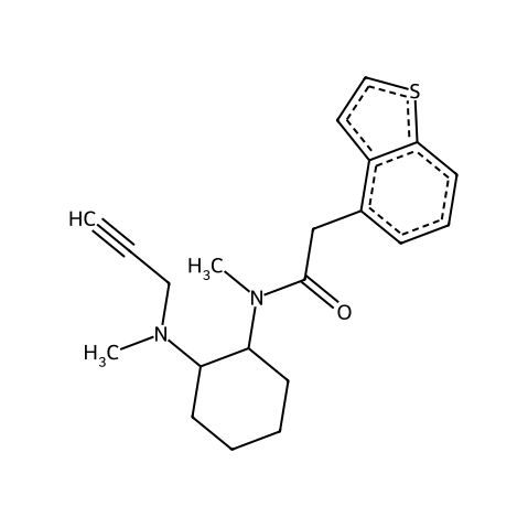 C#CCN(C)C1CCCCC1N(C)C(=O)Cc1cccc2sccc12